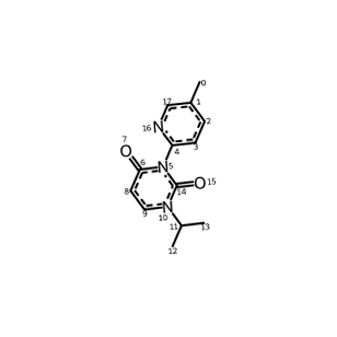 Cc1ccc(-n2c(=O)ccn(C(C)C)c2=O)nc1